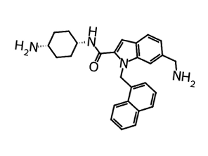 NCc1ccc2cc(C(=O)N[C@H]3CC[C@@H](N)CC3)n(Cc3cccc4ccccc34)c2c1